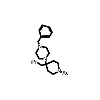 CC(=O)N1CCC(CC(C)C)(N2CCN(Cc3ccccc3)CC2)CC1